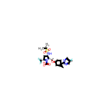 CC(C)S(=O)(=O)N[C@H]1C[C@@H](C(F)F)N(C(=O)O)[C@H]1COC1CCC2(c3ncc(F)cn3)CC2C1